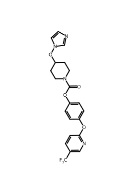 O=C(Oc1ccc(Oc2ccc(C(F)(F)F)cn2)cc1)N1CCC(On2ccnc2)CC1